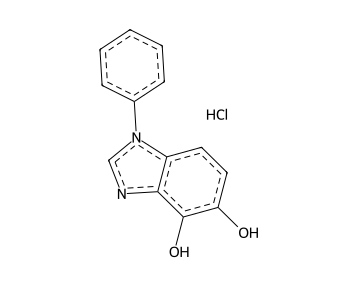 Cl.Oc1ccc2c(ncn2-c2ccccc2)c1O